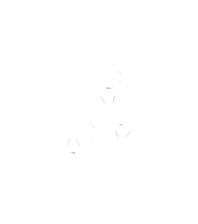 C[C@H](CCc1ccc(S(N)(=O)=O)cc1)N(C[C@H](O)c1ccccc1)C[C@H](O)c1ccccc1